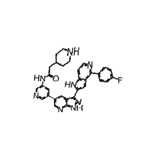 O=C(CC1CCNCC1)Nc1cncc(-c2cnc3[nH]nc(-c4cc5c(-c6ccc(F)cc6)nccc5[nH]4)c3c2)c1